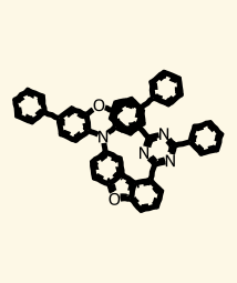 c1ccc(-c2ccc3c(c2)Oc2cc(-c4ccccc4)ccc2N3c2ccc3oc4cccc(-c5nc(-c6ccccc6)nc(-c6ccccc6)n5)c4c3c2)cc1